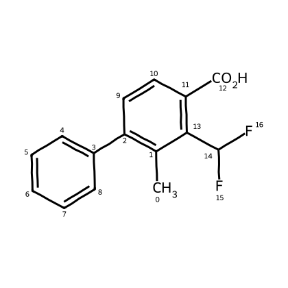 Cc1c(-c2ccccc2)ccc(C(=O)O)c1C(F)F